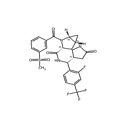 CS(=O)(=O)c1cccc(C(=O)N2[C@@H](C(=O)NC(c3ccc(C(F)(F)F)cc3F)[C@@H]3CNC(=O)C3)C[C@H]3C[C@H]32)c1